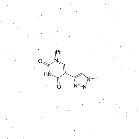 CC(C)n1cc(-c2cn(C)nn2)c(=O)[nH]c1=O